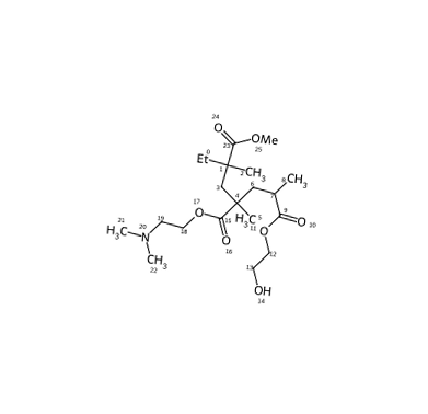 CCC(C)(CC(C)(CC(C)C(=O)OCCO)C(=O)OCCN(C)C)C(=O)OC